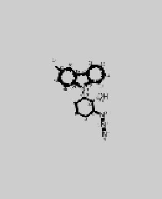 [N-]=[N+]=NC1CCC[C@@H](n2c3ccccc3c3cc(F)ccc32)[C@@H]1O